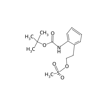 CC(C)(C)OC(=O)Nc1ccccc1CCOS(C)(=O)=O